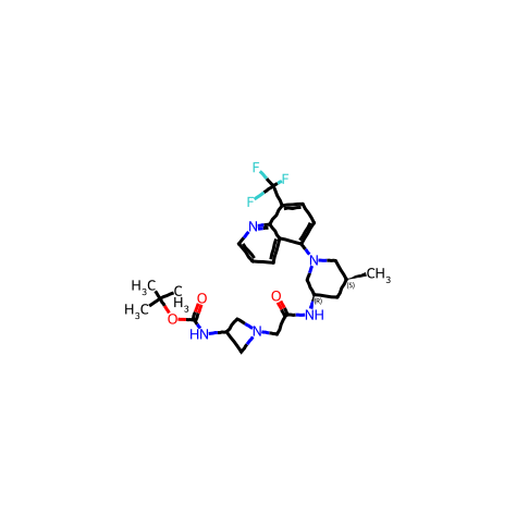 C[C@H]1C[C@@H](NC(=O)CN2CC(NC(=O)OC(C)(C)C)C2)CN(c2ccc(C(F)(F)F)c3ncccc23)C1